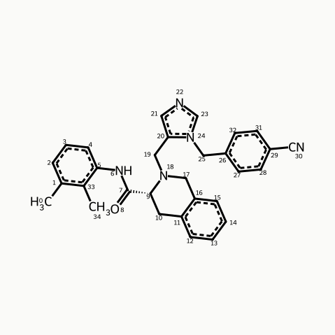 Cc1cccc(NC(=O)[C@H]2Cc3ccccc3CN2Cc2cncn2Cc2ccc(C#N)cc2)c1C